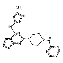 Cc1cc(Nc2nc(N3CCN(C(=O)c4ncccn4)CC3)nn3cccc23)n[nH]1